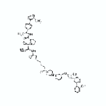 Cc1ncsc1-c1ccc([C@H](C)NC(=O)[C@@H]2CCCN2C(=O)[C@@H](NC(=O)CCCCCC(=O)N2CCN(c3cccc(OC4CN(c5cc(-c6ccccc6O)nnc5N)C4)c3)CC2)C(C)(C)C)cc1